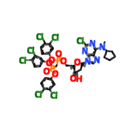 CN(c1nc(Cl)nc2c1ncn2[C@H]1C[C@H](O)[C@@H](COP(=O)(CP(=O)(Oc2ccc(Cl)c(Cl)c2)Oc2ccc(Cl)c(Cl)c2)Oc2ccc(Cl)c(Cl)c2)O1)C1CCCC1